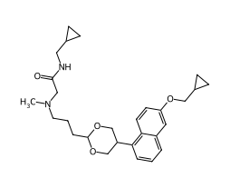 CN(CCCC1OCC(c2cccc3cc(OCC4CC4)ccc23)CO1)CC(=O)NCC1CC1